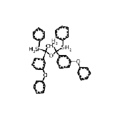 CC(OC(C)([SiH2]c1ccccc1)c1cccc(Oc2ccccc2)c1)([SiH2]c1ccccc1)c1cccc(Oc2ccccc2)c1